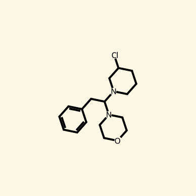 ClC1CCCN(C(Cc2ccccc2)N2CCOCC2)C1